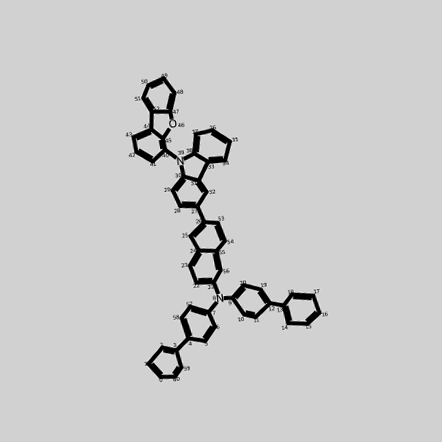 c1ccc(-c2ccc(N(c3ccc(-c4ccccc4)cc3)c3ccc4cc(-c5ccc6c(c5)c5ccccc5n6-c5cccc6c5oc5ccccc56)ccc4c3)cc2)cc1